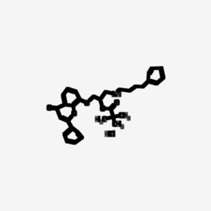 CC(C)(C)C(=O)OC(CNCCCCc1ccccc1)COc1cccc2c(=O)cc(-c3ccccc3)oc12.Cl